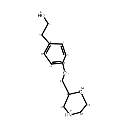 OCCc1ccc(OCC2CNCCO2)cc1